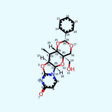 C[C@@H]1[C@@H]2Oc3nc(=O)ccn3[C@@H]2O[C@]2(CO)CO[C@@H](c3ccccc3)O[C@@H]12